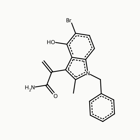 C=C(C(N)=O)c1c(C)n(Cc2ccccc2)c2ccc(Br)c(O)c12